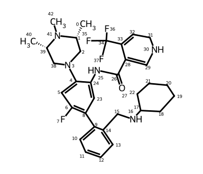 C[C@@H]1CN(c2cc(F)c(-c3ccccc3CNC3CCCCC3)cc2NC(=O)C2=CNCC=C2C(F)(F)F)C[C@H](C)N1C